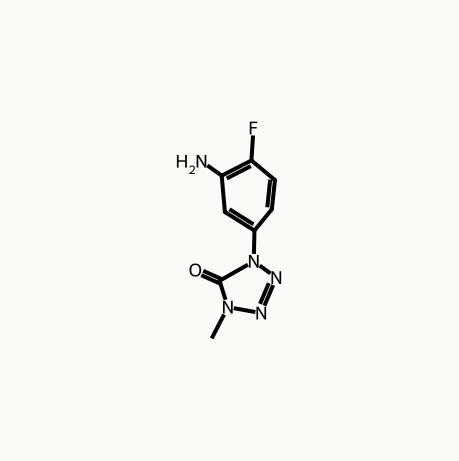 Cn1nnn(-c2ccc(F)c(N)c2)c1=O